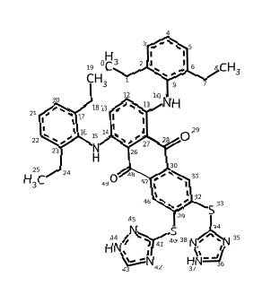 CCc1cccc(CC)c1Nc1ccc(Nc2c(CC)cccc2CC)c2c1C(=O)c1cc(Sc3nc[nH]n3)c(Sc3nc[nH]n3)cc1C2=O